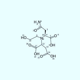 NC(=O)C[C@@H](C(=O)O)N(CCO)C(CC(=O)O)C(=O)O